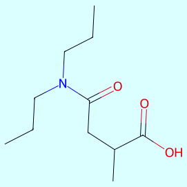 CCCN(CCC)C(=O)CC(C)C(=O)O